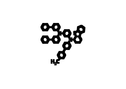 Cc1ccc(-c2ccc(N(c3cccc(N(c4cccc(-c5ccccc5)c4)c4cccc(-c5ccccc5)c4)c3)C3C=CC=C4c5ccccc5SC43)cc2)cc1